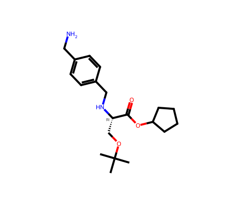 CC(C)(C)OC[C@H](NCc1ccc(CN)cc1)C(=O)OC1CCCC1